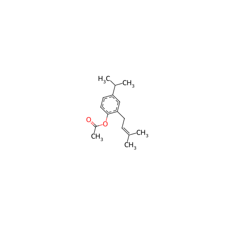 CC(=O)Oc1ccc(C(C)C)cc1CC=C(C)C